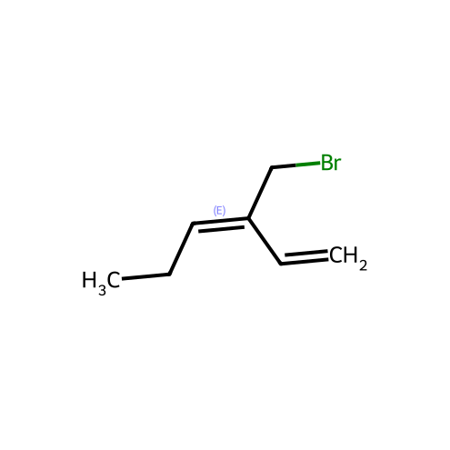 C=C/C(=C\CC)CBr